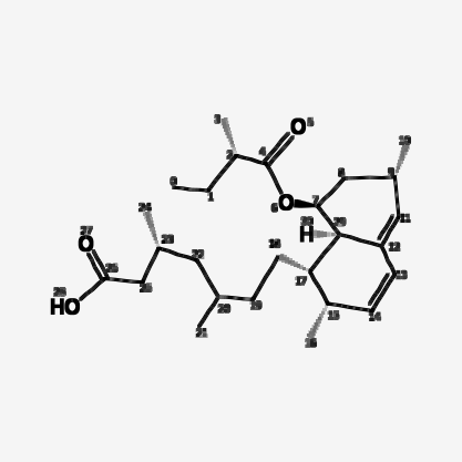 CC[C@H](C)C(=O)O[C@H]1C[C@H](C)C=C2C=C[C@H](C)[C@H](CCC(C)C[C@@H](C)CC(=O)O)[C@H]21